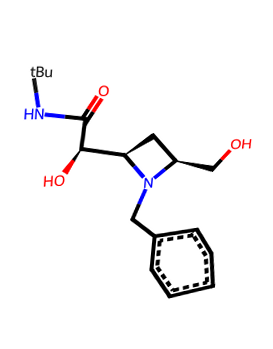 CC(C)(C)NC(=O)[C@H](O)[C@H]1C[C@@H](CO)N1Cc1ccccc1